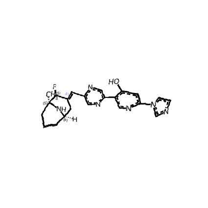 C[C@]12CCC[C@H](C/C(=C\c3cnc(-c4cnc(-n5ccnc5)cc4O)cn3)[C@@H]1F)N2